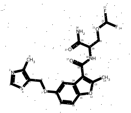 Cc1ncsc1COc1ccc2oc(C)c(C(=O)NC(COC(F)F)C(N)=O)c2c1